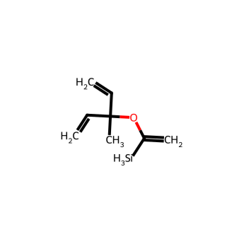 C=CC(C)(C=C)OC(=C)[SiH3]